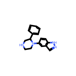 c1ccc(C2CNCCN2c2ccc3[nH]ncc3c2)cc1